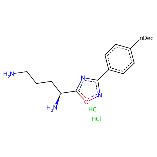 CCCCCCCCCCc1ccc(-c2noc([C@@H](N)CCCN)n2)cc1.Cl.Cl